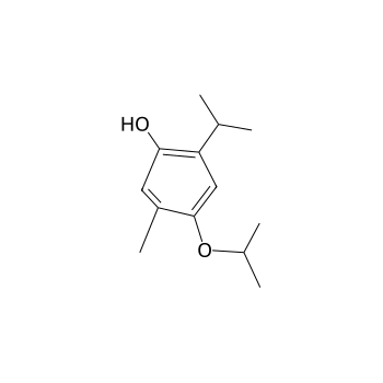 Cc1cc(O)c(C(C)C)cc1OC(C)C